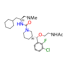 CNC[C@H](CC1CCCCC1)NC(=O)N1CCC[C@@H](C(OCCNC(C)=O)c2cccc(Cl)c2F)C1